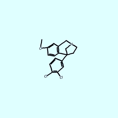 COc1ccc2c(c1)CN1CCC2(c2ccc(Cl)c(Cl)c2)C1